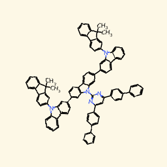 CC1(C)c2ccccc2-c2ccc(-n3c4ccccc4c4ccc(-c5ccc6c7ccc(-c8ccc9c%10ccccc%10n(-c%10ccc%11c(c%10)C(C)(C)c%10ccccc%10-%11)c9c8)cc7n(-c7nc(-c8ccc(-c9ccccc9)cc8)cc(-c8ccc(-c9ccccc9)cc8)n7)c6c5)cc43)cc21